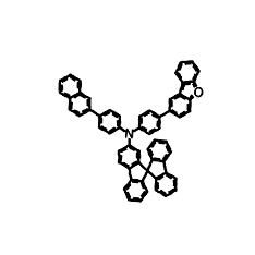 c1ccc2c(c1)-c1ccccc1C21c2ccccc2-c2ccc(N(c3ccc(-c4ccc5ccccc5c4)cc3)c3ccc(-c4ccc5oc6ccccc6c5c4)cc3)cc21